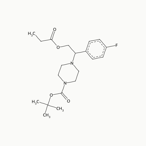 CCC(=O)OCC(c1ccc(F)cc1)N1CCN(C(=O)OC(C)(C)C)CC1